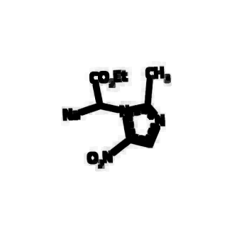 CCOC(=O)[CH]([Na])n1c([N+](=O)[O-])cnc1C